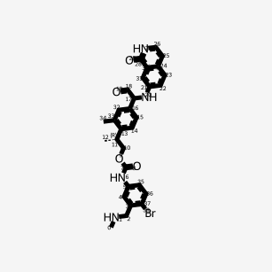 CNCc1cc(NC(=O)OC[C@H](C)c2ccc(C(C=O)Nc3ccc4cc[nH]c(=O)c4c3)cc2C)ccc1Br